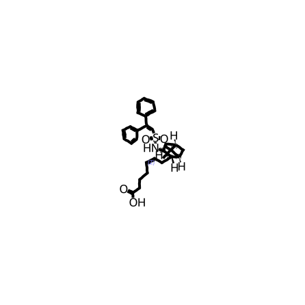 CC1(C)[C@H]2C[C@H](NS(=O)(=O)C=C(c3ccccc3)c3ccccc3)[C@@H](C/C=C\CCCC(=O)O)[C@@H]1C2